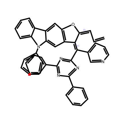 C=C/C=c1/oc2cc3c4ccccc4n(-c4ccccc4)c3cc2/c1=C(/c1cccnc1)c1nc(-c2ccccc2)nc(-c2ccccc2)n1